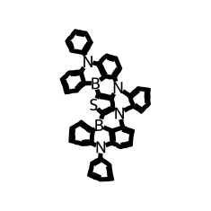 c1ccc(N2c3ccccc3B3c4sc5c6c4N(c4ccccc4N6c4cccc6c4B5c4ccccc4N6c4ccccc4)c4cccc2c43)cc1